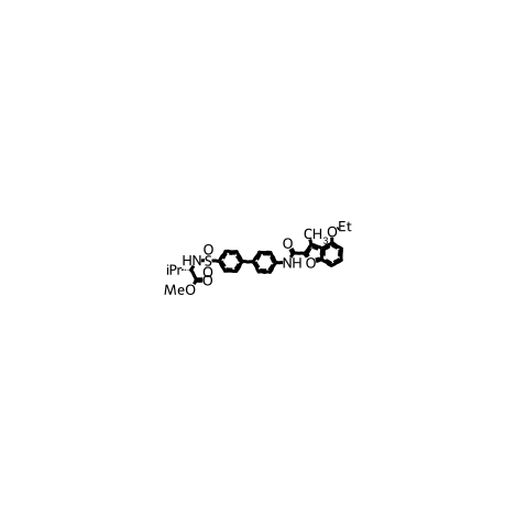 CCOc1cccc2oc(C(=O)Nc3ccc(-c4ccc(S(=O)(=O)N[C@H](C(=O)OC)C(C)C)cc4)cc3)c(C)c12